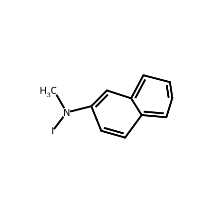 CN(I)c1ccc2ccccc2c1